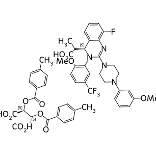 COc1cccc(N2CCN(C3=Nc4c(F)cccc4[C@H](C(C)C(=O)O)N3c3cc(C(F)(F)F)ccc3OC)CC2)c1.Cc1ccc(C(=O)O[C@H](C(=O)O)[C@H](OC(=O)c2ccc(C)cc2)C(=O)O)cc1